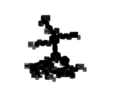 CCO[PH](=O)CN(Cc1ccn(-c2cc(C#Cc3cc(OCCOC)c(C(=O)NCCCC(=O)O)cc3OCCOC)cc(-n3ccc(CN(CP(=O)(O)OCC)CP(=O)(O)OCC)n3)n2)n1)CP(=O)(O)OCC